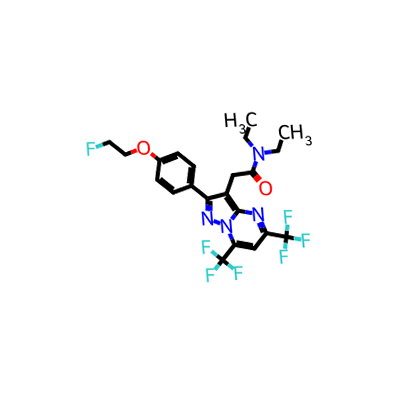 CCN(CC)C(=O)Cc1c(-c2ccc(OCCF)cc2)nn2c(C(F)(F)F)cc(C(F)(F)F)nc12